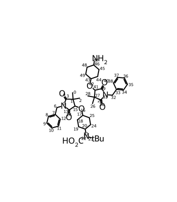 CC1(C)C(=O)N(Cc2ccccc2)C(=O)C1OC1CCC(N(C(=O)O)C(C)(C)C)CC1.CC1(C)C(=O)N(Cc2ccccc2)C(=O)C1OC1CCC(N)CC1